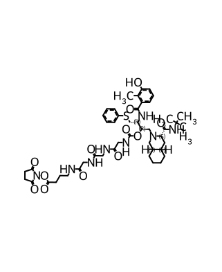 Cc1c(O)cccc1C(=O)N[C@@H](CSc1ccccc1)[C@@H](CN1C[C@H]2CCCC[C@H]2C[C@H]1C(=O)NC(C)(C)C)OC(=O)NCC(=O)NCC(=O)NCC(=O)NCCCC(=O)ON1C(=O)CCC1=O